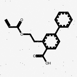 C=CC(=O)OCCc1cc(-c2ccccc2)ccc1C(=O)O